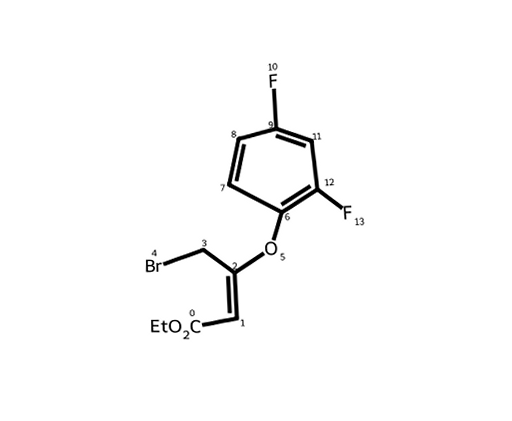 CCOC(=O)C=C(CBr)Oc1ccc(F)cc1F